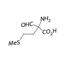 CSCCC(N)(C=O)C(=O)O